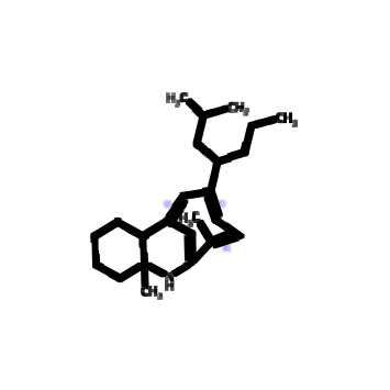 CCCC(CC(C)C)C1=C\C=C(/C)C2=C/C(=C\1)C1CCCCC1(C)N2